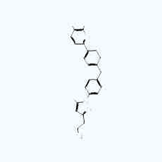 Cc1nc(C2=CC=C(Cc3ccc(-n4nc(CCN)cc4C)cc3)CC2)ccc1C(C)(C)C